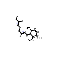 CC/C(C)=C/CC/C(C)=C/CC1C(O)C=CC(O)C1CC